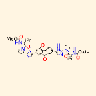 COC(=O)N[C@H](C(=O)N1CCC[C@H]1c1ncc(-c2cc3c4c(c2)C(=O)c2cc(-c5cnc([C@@H]6CCCN6C(=O)[C@@H](NC(=O)OC)C(C)C)[nH]5)cc(c2-4)OC3)[nH]1)C(C)C